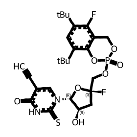 C#Cc1cn([C@@H]2O[C@](F)(COP3(=O)OCc4c(F)c(C(C)(C)C)cc(C(C)(C)C)c4O3)C[C@H]2O)c(=S)[nH]c1=O